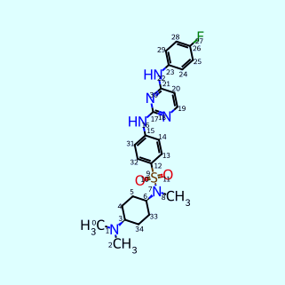 CN(C)[C@H]1CC[C@@H](N(C)S(=O)(=O)c2ccc(Nc3nccc(Nc4ccc(F)cc4)n3)cc2)CC1